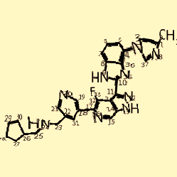 Cc1cn(-c2cccc3[nH]c(-c4n[nH]c5cnc(-c6cncc(CNCC7CCCC7)c6)c(F)c45)nc23)cn1